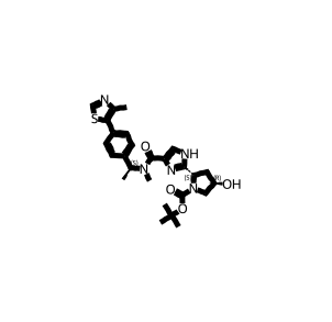 Cc1ncsc1-c1ccc([C@H](C)N(C)C(=O)c2c[nH]c([C@@H]3C[C@@H](O)CN3C(=O)OC(C)(C)C)n2)cc1